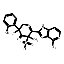 CCS(=O)(=O)C1(C)C(=O)C(C)(c2ccccc2C#N)CN=C1c1nc2c(C(F)(F)F)nccc2[nH]1